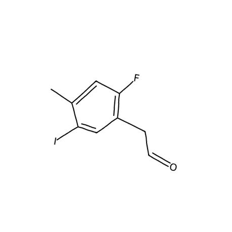 Cc1cc(F)c(CC=O)cc1I